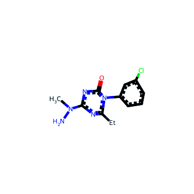 CCc1nc(N(C)N)nc(=O)n1-c1cccc(Cl)c1